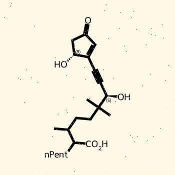 CCCCCC(C(=O)O)C(C)CCC(C)(C)[C@H](O)C#CC1=CC(=O)C[C@H]1O